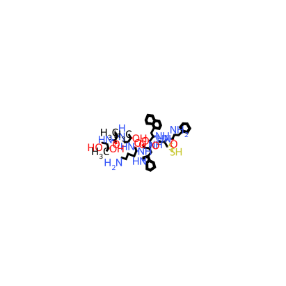 CC(NCC(NC(=O)C(CCCCN)NC(=O)C(Cc1c[nH]c2ccccc12)NC(=O)C(Cc1cccc2ccccc12)NC(=O)C(CSS)NC(=O)C(N)Cc1ccccc1)C(C)O)C(=O)NC(CO)C(C)O